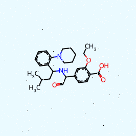 CCOc1cc(C(C=O)NC(CC(C)C)c2ccccc2N2CCCCC2)ccc1C(=O)O